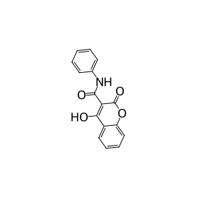 O=C(Nc1ccccc1)c1c(O)c2ccccc2oc1=O